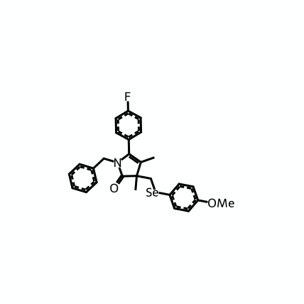 COc1ccc([Se]CC2(C)C(=O)N(Cc3ccccc3)C(c3ccc(F)cc3)=C2C)cc1